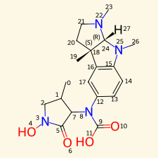 CC1CN(O)C(=O)C1N(C(=O)O)c1ccc2c(c1)[C@]1(C)CCN(C)[C@@H]1N2C